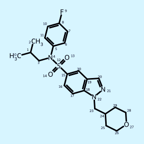 CC(C)CN(c1ccc(F)cc1)S(=O)(=O)c1ccc2c(cnn2CC2CCOCC2)c1